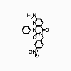 Nc1ccc2c(=O)n(Cc3ccc([N+](=O)[O-])cc3)c(=O)n(-c3ccccc3)c2n1